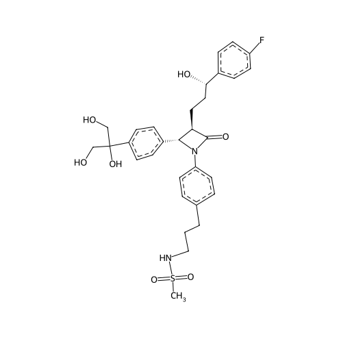 CS(=O)(=O)NCCCc1ccc(N2C(=O)[C@H](CC[C@H](O)c3ccc(F)cc3)[C@H]2c2ccc(C(O)(CO)CO)cc2)cc1